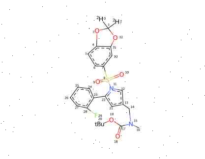 [2H]C1([2H])Oc2ccc(S(=O)(=O)n3cc(CN(C)C(=O)OC(C)(C)C)cc3-c3ccccc3F)cc2O1